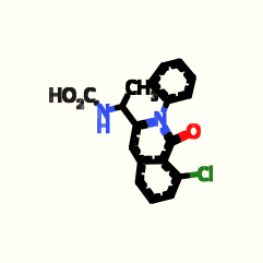 CC(NC(=O)O)c1cc2cccc(Cl)c2c(=O)n1-c1ccccc1